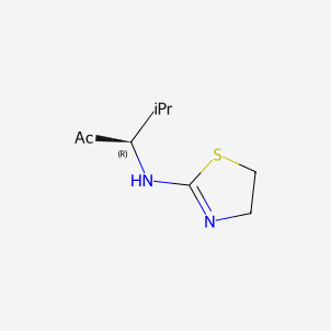 CC(=O)[C@H](NC1=NCCS1)C(C)C